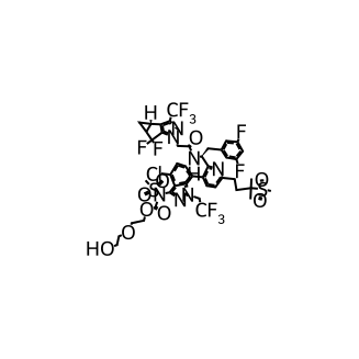 CC(C)(CCc1ccc(-c2ccc(Cl)c3c(N(C(=O)OCCOCCO)S(C)(=O)=O)nn(CC(F)(F)F)c23)c([C@H](Cc2cc(F)cc(F)c2)NC(=O)Cn2nc(C(F)(F)F)c3c2C(F)(F)C2C[C@H]32)n1)S(C)(=O)=O